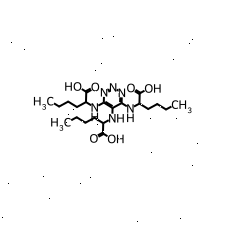 CCCCC(Nc1nnnc(NC(CCCC)C(=O)O)c1NC(CCCC)C(=O)O)C(=O)O